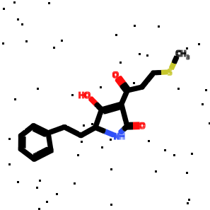 CSCCC(=O)C1=C(O)C(CCc2ccccc2)NC1=O